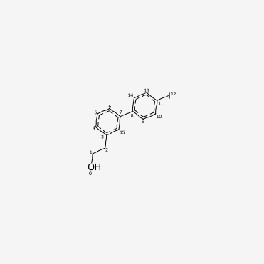 OCCc1cccc(-c2ccc(I)cc2)c1